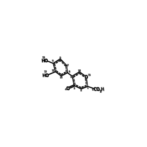 O=C(O)c1cc(=O)c(-c2ccc(O)c(O)c2)co1